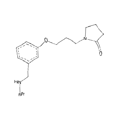 CCCNCc1cccc(OCCCN2CCCC2=O)c1